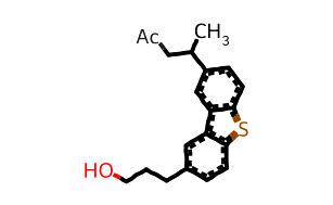 CC(=O)CC(C)c1ccc2sc3ccc(CCCO)cc3c2c1